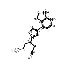 CCC[C@H](CC#N)n1cc(-c2ccnc3c2CCN3)cn1